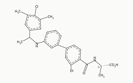 CCc1cc(-c2cccc(NC(C)c3cc(C)c(Cl)c(C)c3)c2)ccc1C(=O)N[C@@H](C)C(=O)O